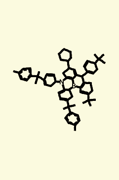 Cc1ccc(C(C)(C)C2=CCC(N3C4=CC=C(C(C)(C)c5ccc(C)cc5)CC4B4C5=C(CCC(C(C)(C)C)=C5)C(C5=CCC(C(C)(C)C)C=C5)C5=CC(C6CCCCC6)CC3=C45)C=C2)cc1